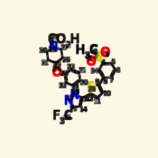 CS(=O)(=O)c1cccc(-c2ccc(-c3cc(C(F)(F)F)nn3-c3cccc(OC4CCN(C(=O)O)CC4)c3)s2)c1